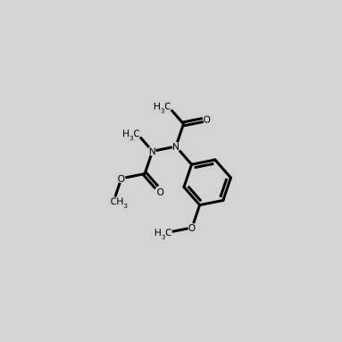 COC(=O)N(C)N(C(C)=O)c1cccc(OC)c1